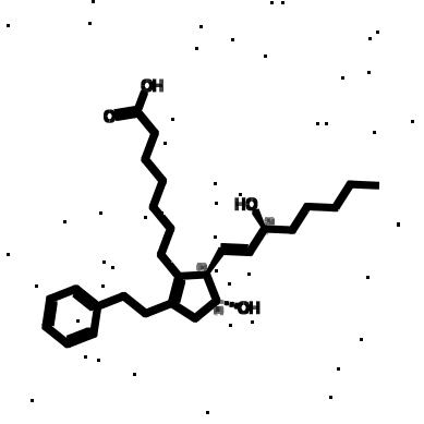 CCCCC[C@H](O)C=C[C@@H]1C(CCCCCCC(=O)O)=C(CCc2ccccc2)C[C@H]1O